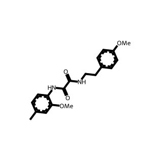 COc1ccc(CCNC(=O)C(=O)Nc2ccc(C)cc2OC)cc1